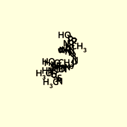 Cc1ncsc1-c1ccc([C@H](C)NC(=O)[C@@H]2C[C@@H](O)CN2C(=O)[C@H](c2cc(N3CC(CC4CCN(CC5CCN(c6nc(N7CC8CCC(C7)N8)c7cnc8c(c7n6)C(C)c6cccc7cc(O)cc-8c67)CC5)CC4)C3)no2)C(C)C)cc1